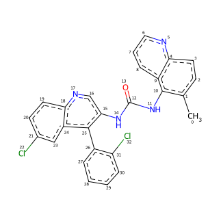 Cc1ccc2ncccc2c1NC(=O)Nc1cnc2ccc(Cl)cc2c1-c1ccccc1Cl